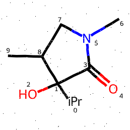 CC(C)C1(O)C(=O)N(C)CC1C